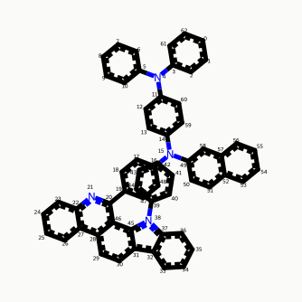 c1ccc(N(c2ccccc2)c2ccc(N(c3ccc(-c4nc5ccccc5c5ccc6c7ccccc7n(-c7ccccc7)c6c45)cc3)c3ccc4ccccc4c3)cc2)cc1